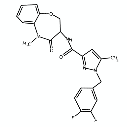 Cc1cc(C(=O)NC2COc3ccccc3N(C)C2=O)nn1Cc1ccc(F)c(F)c1